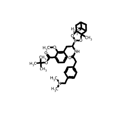 COc1c(CC(NC(=O)Cc2ccc(CN(C)C)cc2)B2OC3CC4CC(C4(C)C)C3(C)O2)cccc1C(=O)OC(C)(C)C